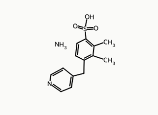 Cc1c(Cc2ccncc2)ccc(S(=O)(=O)O)c1C.N